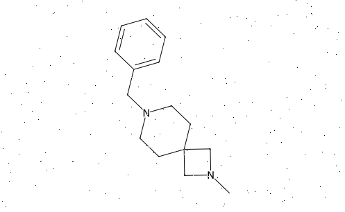 CN1CC2(CCN(Cc3ccccc3)CC2)C1